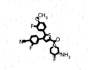 COc1ccc(-c2sc(C(=O)N3CC[C@H](F)[C@@H](N)C3)cc2-c2ccc(C#N)c(F)c2)cc1F